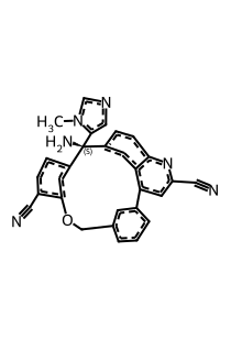 Cn1cncc1[C@@]1(N)c2ccc(C#N)c(c2)OCc2cccc(c2)-c2cc(C#N)nc3ccc1cc23